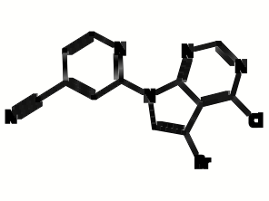 N#Cc1ccnc(-n2cc(Br)c3c(Cl)ncnc32)c1